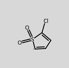 O=S1(=O)[C]=CC=C1Cl